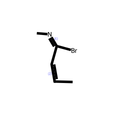 C/C=C\C(Br)=N/C